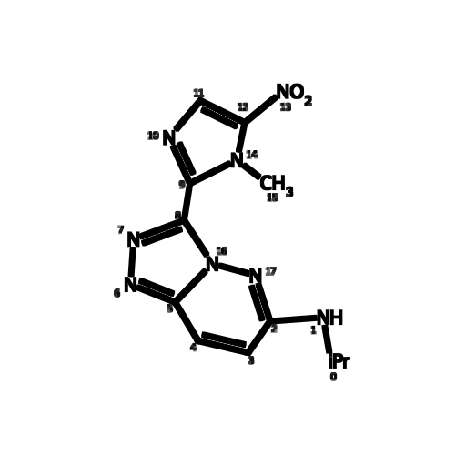 CC(C)Nc1ccc2nnc(-c3ncc([N+](=O)[O-])n3C)n2n1